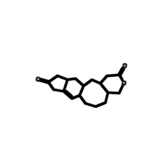 O=C1CC2=CC3CCCC4COC(=O)CC4CC3CC2C1